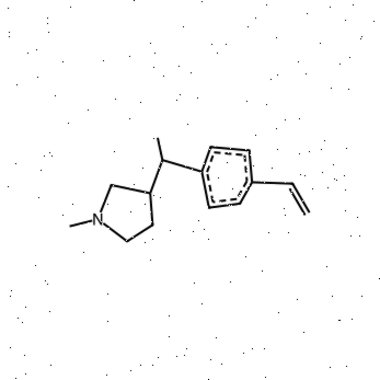 C=Cc1ccc(C(C)C2CCN(C)C2)cc1